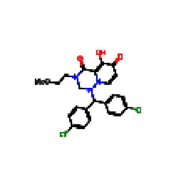 COCCN1CN(C(c2ccc(Cl)cc2)c2ccc(Cl)cc2)n2ccc(=O)c(O)c2C1=O